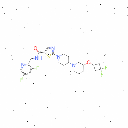 O=C(NCc1ncc(F)cc1F)c1cnc(N2CCC(N3CCCC(OC4CC(F)(F)C4)C3)CC2)s1